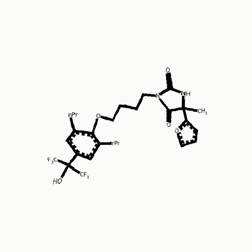 CCCc1cc(C(O)(C(F)(F)F)C(F)(F)F)cc(CCC)c1OCCCCN1C(=O)NC(C)(c2ccco2)C1=O